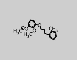 COOc1cccc(OCCCc2ccccc2C)c1OC